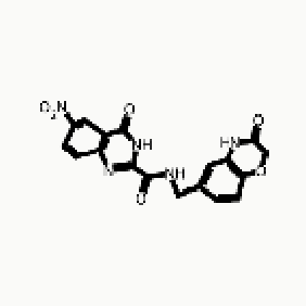 O=C1COc2ccc(CNC(=O)c3nc4ccc([N+](=O)[O-])cc4c(=O)[nH]3)cc2N1